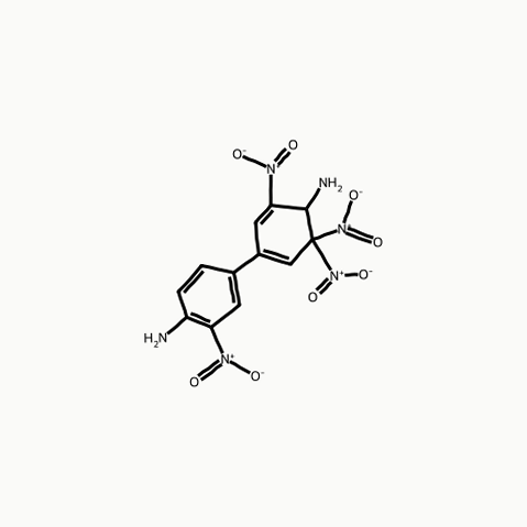 Nc1ccc(C2=CC([N+](=O)[O-])([N+](=O)[O-])C(N)C([N+](=O)[O-])=C2)cc1[N+](=O)[O-]